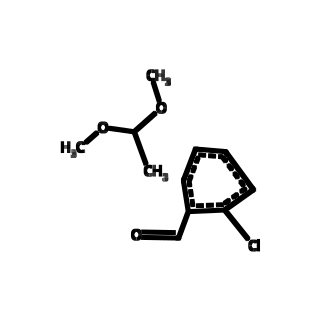 COC(C)OC.O=Cc1ccccc1Cl